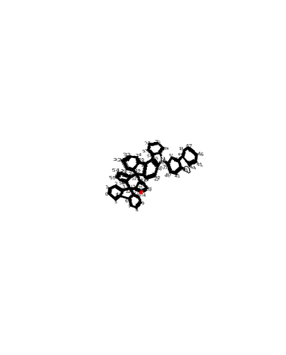 c1ccc2c(c1)-c1ccccc1C21c2ccccc2C2(c3ccccc3-c3c2ccc2c3c3ccccc3n2-c2ccc3oc4ccccc4c3c2)c2ccccc21